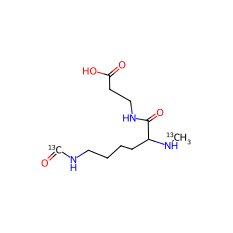 [13CH3]NC(CCCCN[13CH]=O)C(=O)NCCC(=O)O